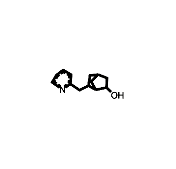 OC1CC2CC(Cc3ccccn3)C1C2